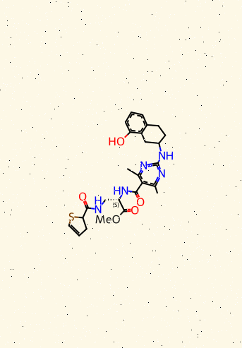 COC(=O)[C@H](CNC(=O)C1CC=CS1)NC(=O)c1c(C)nc(NC2CCc3cccc(O)c3C2)nc1C